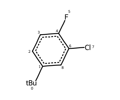 CC(C)(C)c1ccc(F)c(Cl)c1